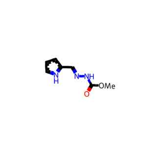 COC(=O)NN=Cc1ccc[nH]1